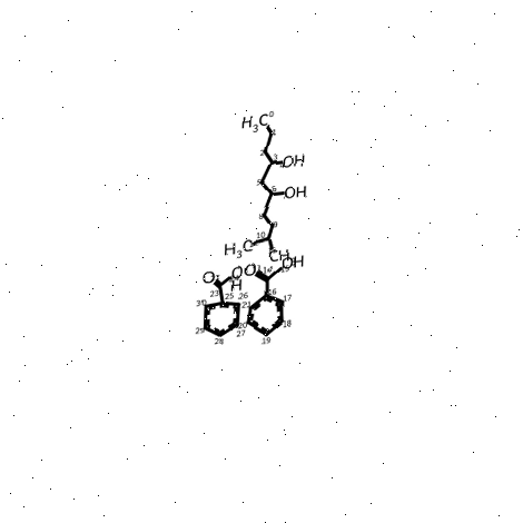 CCCC(O)CC(O)CCC(C)C.O=C(O)c1ccccc1.O=C(O)c1ccccc1